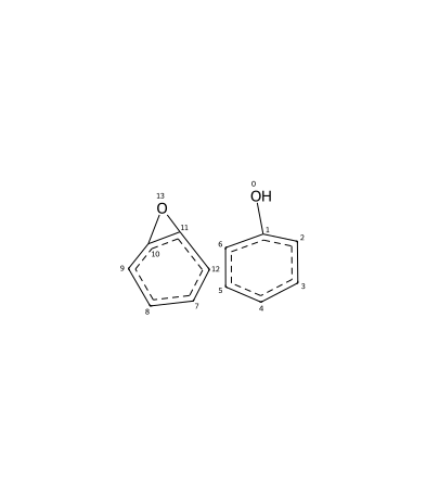 Oc1ccccc1.c1ccc2c(c1)O2